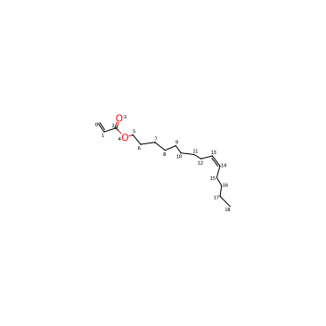 C=CC(=O)OCCCCCCCC/C=C\CCCC